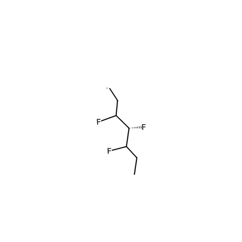 [CH2]CC(F)[C@H](F)C(F)CC